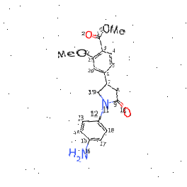 COC(=O)c1ccc(C2CC(=O)N(c3ccc(N)cc3)C2)cc1OC